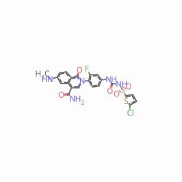 CNc1ccc2c(=O)n(-c3ccc(NC(=O)NS(=O)(=O)c4ccc(Cl)s4)cc3F)cc(C(N)=O)c2c1